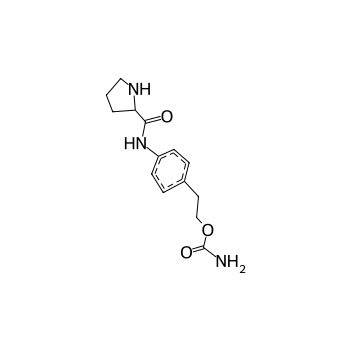 NC(=O)OCCc1ccc(NC(=O)C2CCCN2)cc1